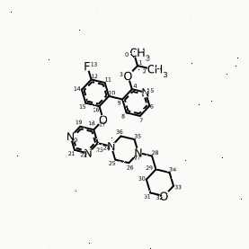 CC(C)Oc1ncccc1-c1cc(F)ccc1Oc1cncnc1N1CCN(CC2CCOCC2)CC1